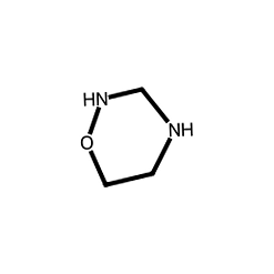 C1CONCN1